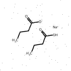 CCCC(=O)O.CCCC(=O)[O-].[Na+]